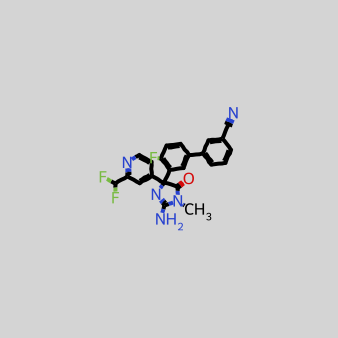 CN1C(=O)C(c2ccnc(C(F)F)c2)(c2cc(-c3cccc(C#N)c3)ccc2F)N=C1N